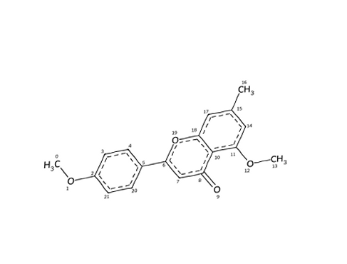 COc1ccc(-c2cc(=O)c3c(OC)cc(C)cc3o2)cc1